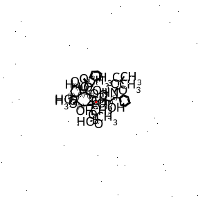 CC(=O)O[C@@]12CO[C@@H]1C[C@H](O)[C@@]1(C)C(=O)[C@H](O)C3=C(C)[C@@H](OC(=O)[C@H](O)[C@@H](NC(=O)OC(C)(C)C)c4ccccc4)C[C@@](O)([C@@H](OC(=O)c4ccccc4)[C@H]21)C3(C)C.CS(=O)(=O)O